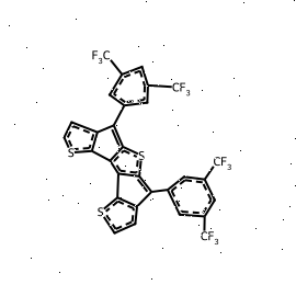 FC(F)(F)c1cc(C2=c3sc4c(c3-c3sccc32)-c2sccc2C=4c2cc(C(F)(F)F)cc(C(F)(F)F)c2)cc(C(F)(F)F)c1